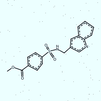 COC(=O)c1ccc(S(=O)(=O)NCc2cnc3ccccc3c2)cc1